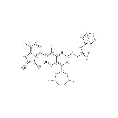 CC1CCC(C)CN(c2nc(OCC3(CN4CC5CCC4CO5)CC3)nc3c(F)c(-c4ccc(F)c5sc(N)c(C#N)c45)ncc23)C1